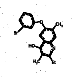 CCc1nc2cc(C)c(Oc3cccc(Br)c3)cc2c(O)c1C